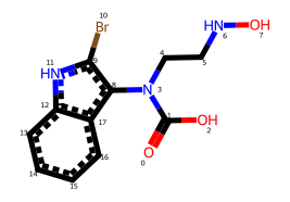 O=C(O)N(CCNO)c1c(Br)[nH]c2ccccc12